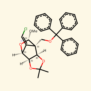 CO[C@H]1O[C@H]2/C(=C/Cl)[C@]1(COC(c1ccccc1)(c1ccccc1)c1ccccc1)[C@H]1OC(C)(C)O[C@@H]21